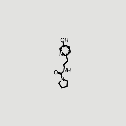 O=C(NCCc1ccc(O)cn1)N1CCCC1